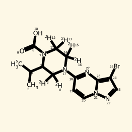 [2H]C1([2H])C(C(C)C)N(C(=O)O)C([2H])([2H])C([2H])([2H])N1c1ccn2ncc(Br)c2n1